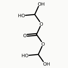 O=C(OC(O)O)OC(O)O